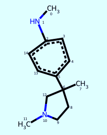 CNc1ccc(C2(C)CCN(C)C2)cc1